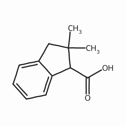 CC1(C)Cc2ccccc2C1C(=O)O